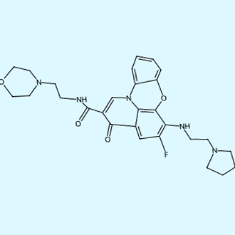 O=C(NCCN1CCOCC1)c1cn2c3c(c(NCCN4CCCC4)c(F)cc3c1=O)Oc1ccccc1-2